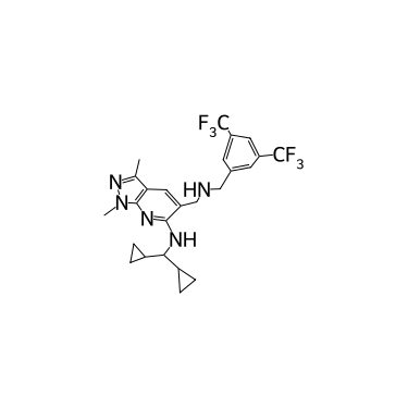 Cc1nn(C)c2nc(NC(C3CC3)C3CC3)c(CNCc3cc(C(F)(F)F)cc(C(F)(F)F)c3)cc12